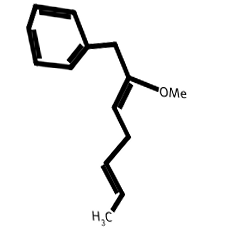 CC=CCC=C(Cc1ccccc1)OC